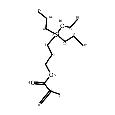 C=C(C)C(=O)OCCC[Si](CCC)(CCC)OCC